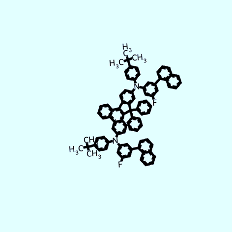 CC(C)(C)c1ccc(N(c2cc(F)cc(-c3cccc4ccccc34)c2)c2ccc3c(c2)C(c2ccccc2)(c2ccccc2)c2c-3c3ccccc3c3cc(N(c4ccc(C(C)(C)C)cc4)c4cc(F)cc(-c5cccc6ccccc56)c4)ccc23)cc1